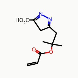 C=CC(=O)OC(C)(C)CC1=NN=C(C(=O)O)C1